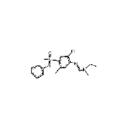 CCN(C)C=Nc1cc(C)c(S(C)(=O)=Nc2ccccc2)cc1Cl